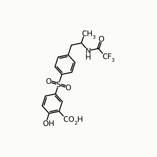 CC(Cc1ccc(S(=O)(=O)c2ccc(O)c(C(=O)O)c2)cc1)NC(=O)C(F)(F)F